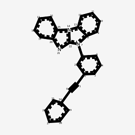 C(#Cc1cccc(-n2c3ccccc3n3c4ccccc4nc23)c1)c1ccccc1